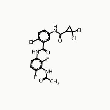 CC(=O)Nc1c(F)ccc(NC(=O)c2cc(NC(=O)C3CC3(Cl)Cl)ccc2Cl)c1F